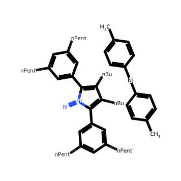 CCCCCc1cc(CCCCC)cc(C2=C(CCCC)C(CCCC)=C(c3cc(CCCCC)cc(CCCCC)c3)[N+]2=[N-])c1.Cc1cc[c]([Ni][c]2ccc(C)cc2)cc1